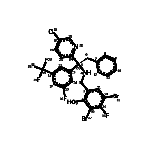 Oc1c(CN[C@@](Cc2ccccc2)(c2cc(F)cc(C(F)(F)F)c2)c2ccc(Cl)cn2)cc(Br)c(F)c1Br